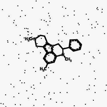 Cc1cc2c3c(c1)c1c(n3CC(c3ccccc3)N2C)CCN(C)C1